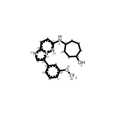 OC1CCCC(Nc2ccc3ncc(-c4cccc(OC(F)(F)F)c4)n3n2)CC1